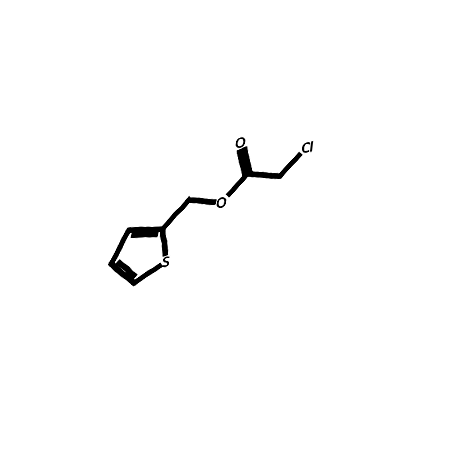 O=C(CCl)O[CH]c1cccs1